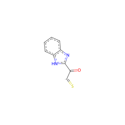 O=C([C]=S)c1nc2ccccc2[nH]1